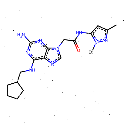 CCn1nc(C)cc1NC(=O)Cn1cnc2c(NCC3CCCC3)nc(N)nc21